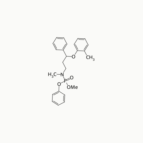 COP(=O)(Oc1ccccc1)N(C)CCC(Oc1ccccc1C)c1ccccc1